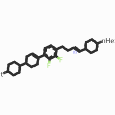 CCCCCCC1CCC(/C=C/CCc2ccc(C3=CCC(C4CCC(CC)CC4)CC3)c(F)c2F)CC1